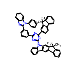 CC1(C)c2ccccc2-c2ccc(-c3nc(-c4cccc(-c5nc6ccccc6n5-c5ccccc5)c4)nc(-n4c5ccccc5c5cc6c(cc54)C(C)(C)c4ccccc4-6)n3)cc21